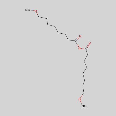 CCCCOCCCCCCCC(=O)OC(=O)CCCCCCCOCCCC